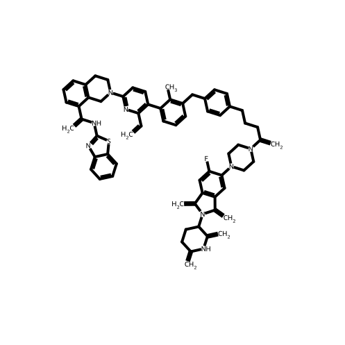 C=Cc1nc(N2CCc3cccc(C(=C)Nc4nc5ccccc5s4)c3C2)ccc1-c1cccc(Cc2ccc(CCCC(=C)N3CCN(c4cc5c(=C)n(C6CCC(=C)NC6=C)c(=C)c5cc4F)CC3)cc2)c1C